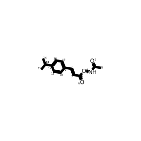 CC(=O)NOC(=O)C=Cc1ccc(C(C)C)cc1